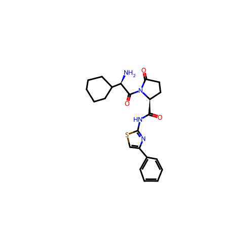 N[C@@H](C(=O)N1C(=O)CC[C@H]1C(=O)Nc1nc(-c2ccccc2)cs1)C1CCCCC1